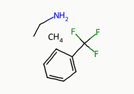 C.CCN.FC(F)(F)c1ccccc1